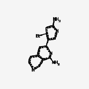 CCc1cc(N)ncc1-c1cc2ccncc2c(N)n1